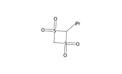 CC(C)C1S(=O)(=O)CS1(=O)=O